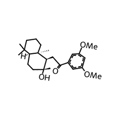 COc1cc(OC)cc(C(=O)C[C@@H]2[C@]3(C)CCCC(C)(C)[C@@H]3CC[C@@]2(C)O)c1